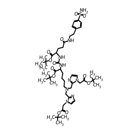 CC(C)(C)OC(=O)Cn1ccnc1CN(CCCCC(NC(=O)NC(CCC(=O)NCCc1ccc(S(N)(=O)=O)cc1)C(=O)OC(C)(C)C)C(=O)OC(C)(C)C)Cc1nccn1CC(=O)OC(C)(C)C